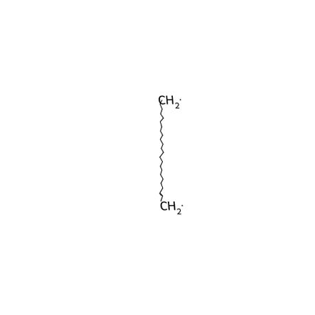 [CH2]CC=CCCCCCCCCCCCCCCCCCCCC[CH2]